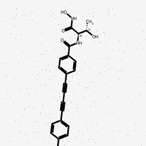 C[C@H](O)[C@@H](NC(=O)c1ccc(C#CC#Cc2ccc(N)cc2)cc1)C(=O)NO